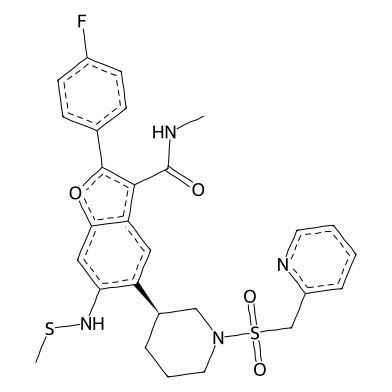 CNC(=O)c1c(-c2ccc(F)cc2)oc2cc(NSC)c([C@@H]3CCCN(S(=O)(=O)Cc4ccccn4)C3)cc12